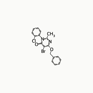 Cc1nc(OCc2ccccc2)c(Br)c(=O)n1-c1ccccc1Cl